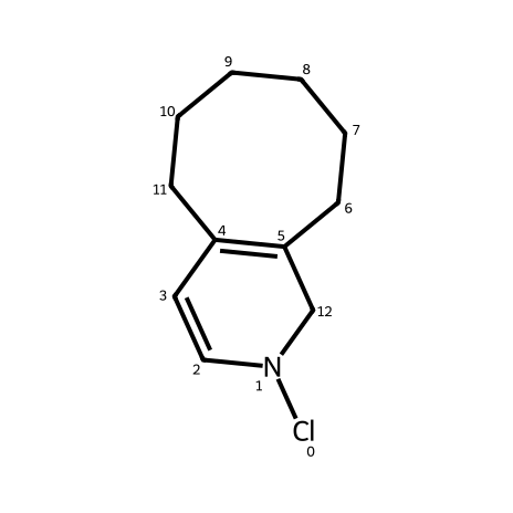 ClN1C=CC2=C(CCCCCC2)C1